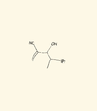 C=C(C#N)C(O)C(C)C(C)C